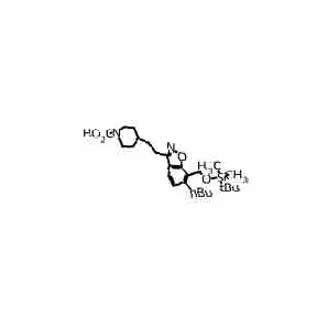 CCCCc1ccc2c(CCC3CCN(C(=O)O)CC3)noc2c1CO[Si](C)(C)C(C)(C)C